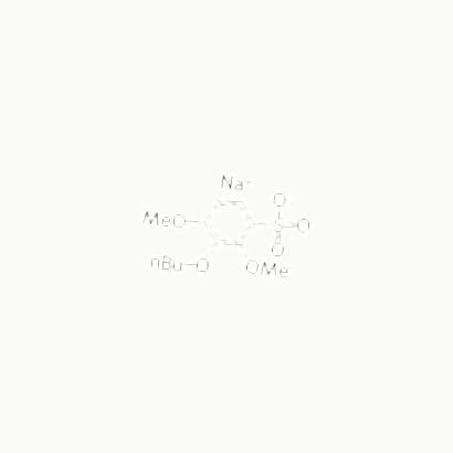 CCCCOc1c(OC)ccc(S(=O)(=O)[O-])c1OC.[Na+]